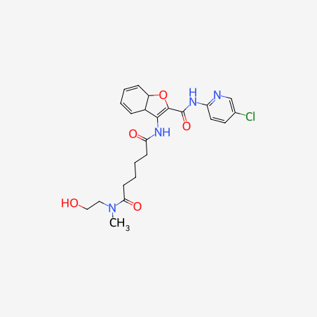 CN(CCO)C(=O)CCCCC(=O)NC1=C(C(=O)Nc2ccc(Cl)cn2)OC2C=CC=CC12